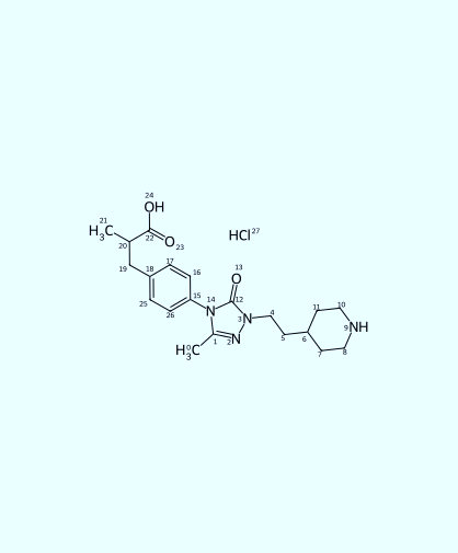 Cc1nn(CCC2CCNCC2)c(=O)n1-c1ccc(CC(C)C(=O)O)cc1.Cl